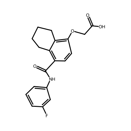 O=C(O)COc1ccc(C(=O)Nc2cccc(F)c2)c2c1CCCC2